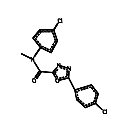 CN(C(=O)c1nnc(-c2ccc(Cl)cc2)o1)c1ccc(Cl)cc1